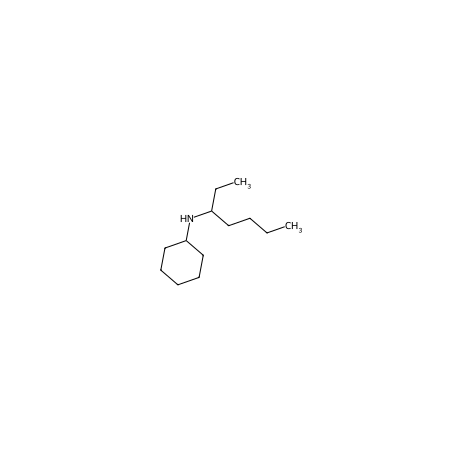 CCCCC(CC)NC1CCCCC1